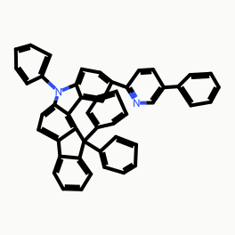 c1ccc(-c2ccc(-c3ccc4c(c3)c3c5c(ccc3n4-c3ccccc3)-c3ccccc3C5(c3ccccc3)c3ccccc3)nc2)cc1